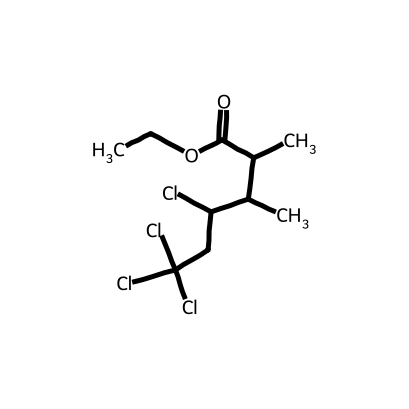 CCOC(=O)C(C)C(C)C(Cl)CC(Cl)(Cl)Cl